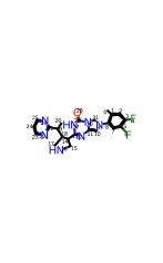 Cc1cc(F)c(F)cc1N1C=C2N=C(C3CNCC3C(C)c3ncccn3)NC(=O)N2C1